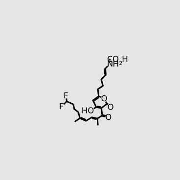 CC(=CC=C(C)C(=O)c1c(O)cc(CCCC=CNC(=O)O)oc1=O)CCCC(F)F